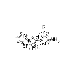 NC(=O)[C@@H]1C[C@@H](F)CN1[C@H]1CC[C@@H]2CN(c3ncccc3C(F)(F)F)C[C@@H]21